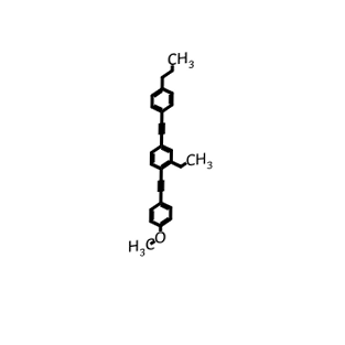 CCCc1ccc(C#Cc2ccc(C#Cc3ccc(OC)cc3)c(CC)c2)cc1